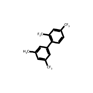 Cc1cc(-c2ccc(C(F)(F)F)cc2C(F)(F)F)cc(C(F)(F)F)c1